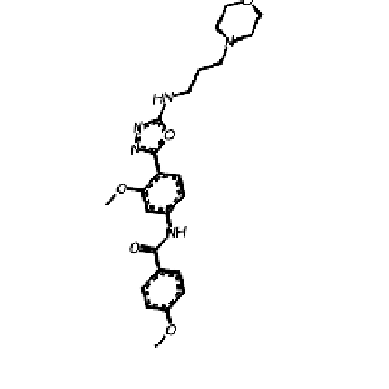 COc1ccc(C(=O)Nc2ccc(-c3nnc(NCCCN4CCOCC4)o3)c(OC)c2)cc1